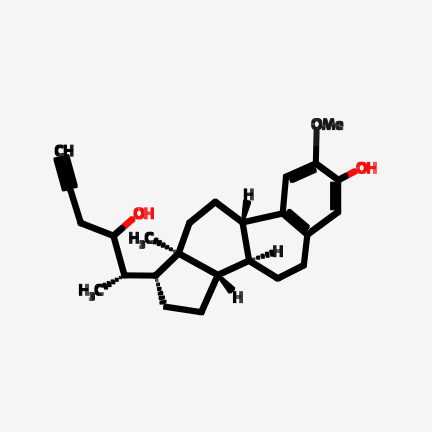 C#CCC(O)[C@@H](C)[C@H]1CC[C@H]2[C@@H]3CCc4cc(O)c(OC)cc4[C@H]3CC[C@]12C